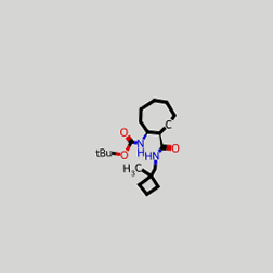 CC1(CNC(=O)[C@@H]2CCCCCC[C@@H]2NC(=O)OC(C)(C)C)CCC1